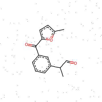 Cc1ccc(C(=O)c2cccc(C(C)C=O)c2)o1